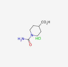 Cl.NC(=O)N1CCC(C(=O)O)CC1